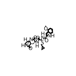 COc1cccc2[nH]c(C(=O)NC(SCC3CC3)C(=O)N[C@@H](C[C@@H]3CCCNC3=O)C(N)=O)cc12